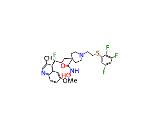 COc1ccc2ncc(C)c([C@H](F)CCC3(C(=O)NO)CCN(CCSc4cc(F)cc(F)c4F)CC3)c2c1